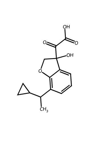 CC(c1cccc2c1OCC2(O)C(=O)C(=O)O)C1CC1